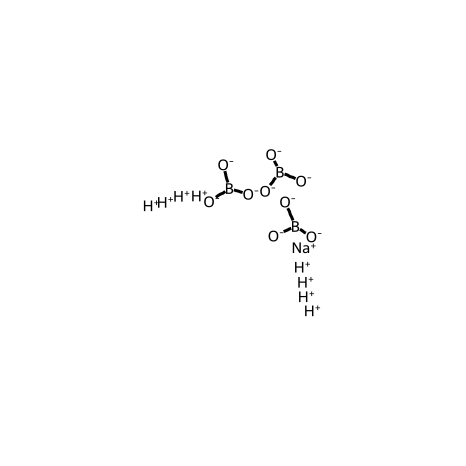 [H+].[H+].[H+].[H+].[H+].[H+].[H+].[H+].[Na+].[O-]B([O-])[O-].[O-]B([O-])[O-].[O-]B([O-])[O-]